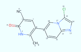 Cc1[nH]c(=O)c(C#N)cc1-c1ccc2ncc(Cl)n2c1